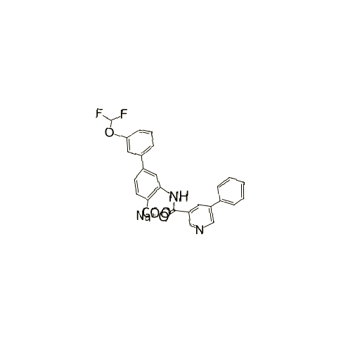 O=C(Nc1cc(-c2cccc(OC(F)F)c2)ccc1C(=O)[O-])c1cncc(-c2ccccc2)c1.[Na+]